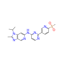 Cc1nc2cnc(Nc3ccnc(-c4ccc(S(C)(=O)=O)nc4)n3)cc2n1C(C)C